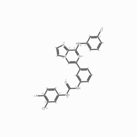 O=C(Nc1cccc(-c2cn3ccnc3c(Nc3cccc(Cl)c3)n2)c1)Nc1ccc(F)c(Cl)c1